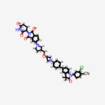 CC1(C)C(=O)N(c2ccc(C#N)c(Cl)c2)c2ccc(-c3ccc(N4CC(OCC5CCN(c6ccc7c(c6)C(=O)N(C6CCC(=O)NC6=O)C7=O)C5)C4)cc3)cc21